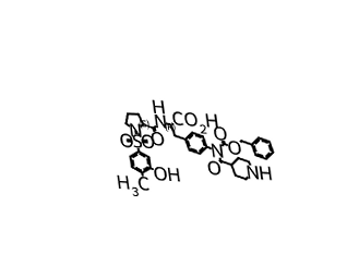 Cc1ccc(S(=O)(=O)N2CCC[C@H]2C(=O)N[C@H](Cc2ccc(N(C(=O)OCc3ccccc3)C(=O)C3CCNCC3)cc2)C(=O)O)cc1O